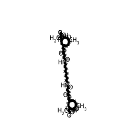 C=C1C(=O)O[C@H]2[C@H]1CC/C(COC(=O)/C=C/C(=O)NCCCCCCCCCNC(=O)/C=C/C(=O)OC/C1=C/CC[C@@]3(C)O[C@H]3[C@H]3OC(=O)C(=C)[C@@H]3CC1)=C\CC[C@@]1(C)O[C@@H]21